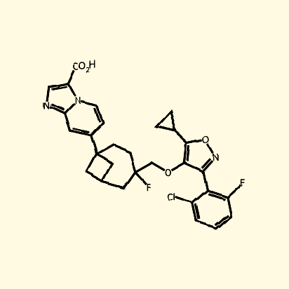 O=C(O)c1cnc2cc(C34CCC(F)(COc5c(-c6c(F)cccc6Cl)noc5C5CC5)CC(C3)C4)ccn12